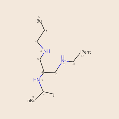 CCCCC(C)N[C](CNCCC(C)CC)CNCC(C)CCC